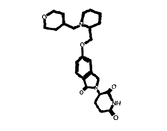 O=C1CCC(N2Cc3cc(OCC4CCCCN4CC4CCOCC4)ccc3C2=O)C(=O)N1